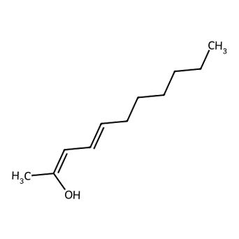 CCCCCCC=CC=C(C)O